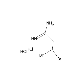 Cl.Cl.N=C(N)CC(Br)Br